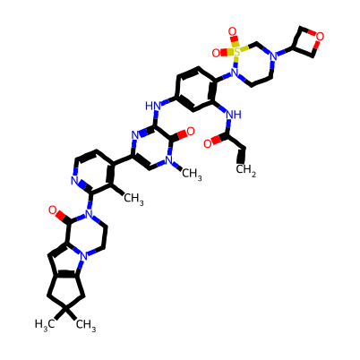 C=CC(=O)Nc1cc(Nc2nc(-c3ccnc(N4CCn5c(cc6c5CC(C)(C)C6)C4=O)c3C)cn(C)c2=O)ccc1N1CCN(C2COC2)CS1(=O)=O